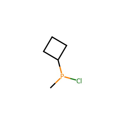 CP(Cl)C1CCC1